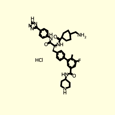 Cc1c(F)cc(C(=O)NC2CCNCC2)cc1-c1ccc(C[C@H](NC(=O)C2CCC(CN)CC2)C(=O)Nc2ccc(-c3nn[nH]n3)cc2)cc1.Cl